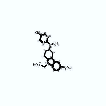 COc1ccc2c(c1)c1c(n2CC(=O)O)CCC(N(C)c2ncc(Cl)cn2)C1